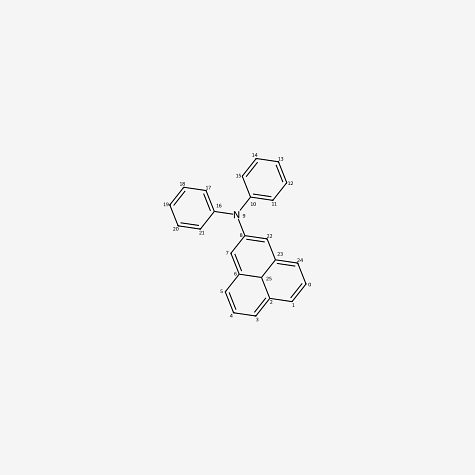 C1=CC2=CC=CC3=CC(N(c4ccccc4)c4ccccc4)=CC(=C1)C23